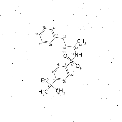 CCC(C)(C)c1ccc(S(=O)(=O)NC(C)CCc2ccccc2)cc1